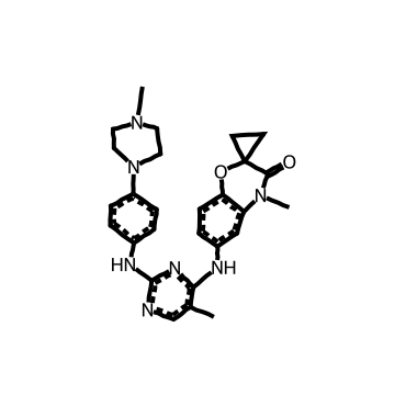 Cc1cnc(Nc2ccc(N3CCN(C)CC3)cc2)nc1Nc1ccc2c(c1)N(C)C(=O)C1(CC1)O2